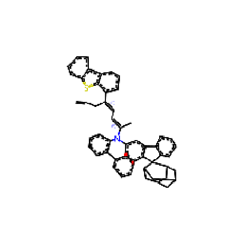 C=CC/C(=C\C=C(/C)N(c1ccc2c(c1)-c1ccccc1C21C2CC3CC(C2)CC1C3)c1ccccc1-c1ccccc1)c1cccc2c1sc1ccccc12